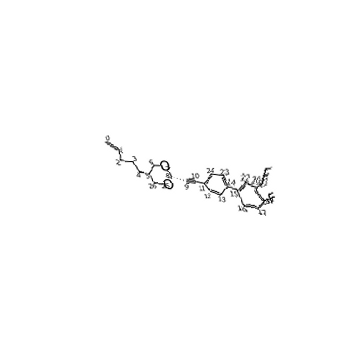 C=CCCC[C@H]1CO[C@H](C#Cc2ccc(-c3ccc(F)c(F)c3)cc2)OC1